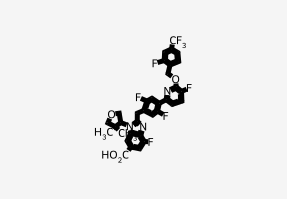 CC1(C)COCC1n1c(Cc2cc(F)c(-c3ccc(F)c(OCc4ccc(C(F)(F)F)cc4F)n3)cc2F)nc2c(F)cc(C(=O)O)cc21